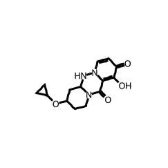 O=C1c2c(O)c(=O)ccn2NC2CC(OC3CC3)CCN12